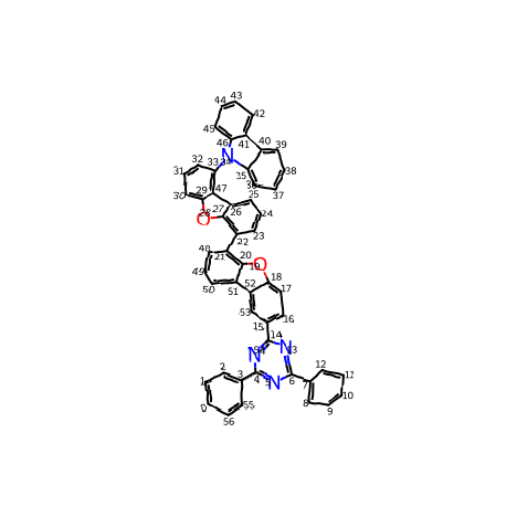 c1ccc(-c2nc(-c3ccccc3)nc(-c3ccc4oc5c(-c6cccc7c6oc6cccc(-n8c9ccccc9c9ccccc98)c67)cccc5c4c3)n2)cc1